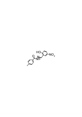 Cc1ccc(C(=O)NN=Cc2cc([N+](=O)[O-])ccc2O)cc1